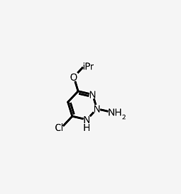 CC(C)OC1=NN(N)NC(Cl)=C1